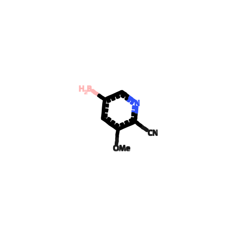 Bc1cnc(C#N)c(OC)c1